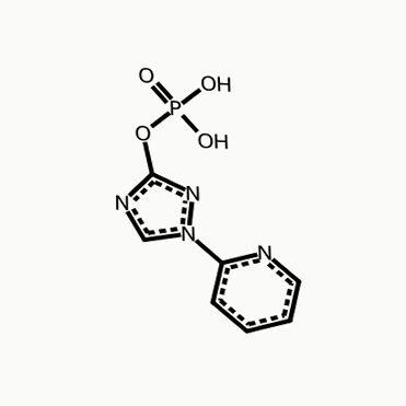 O=P(O)(O)Oc1ncn(-c2ccccn2)n1